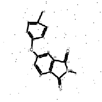 Cc1ccc(Oc2ccc3c(c2)C(=O)N(C)C3=O)cc1